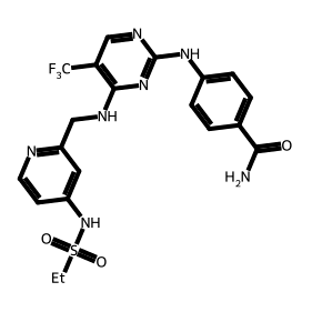 CCS(=O)(=O)Nc1ccnc(CNc2nc(Nc3ccc(C(N)=O)cc3)ncc2C(F)(F)F)c1